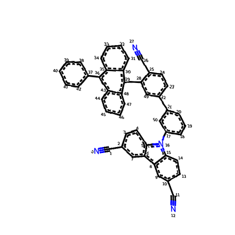 N#Cc1ccc2c(c1)c1cc(C#N)ccc1n2-c1cccc(-c2ccc(C#N)c(-c3c4ccccc4c(-c4ccccc4)c4ccccc34)c2)c1